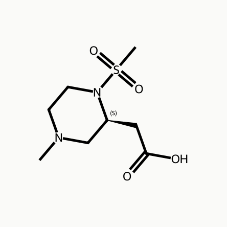 CN1CCN(S(C)(=O)=O)[C@@H](CC(=O)O)C1